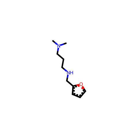 CN(C)CCCNCc1ccco1